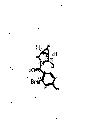 Cc1ccc(C(=O)N2C[C@H]3C[C@H]3[C@H]2C)c(Br)c1